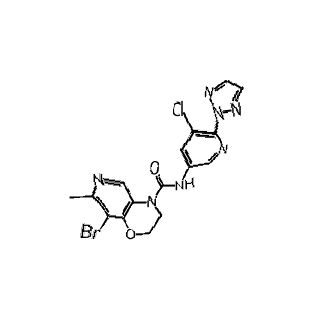 Cc1ncc2c(c1Br)OCCN2C(=O)Nc1cnc(-n2nccn2)c(Cl)c1